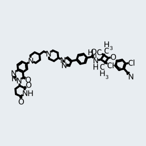 CC1(C)C(NC(=O)c2ccc(-c3cnn(C4CCN(CC5CCN(c6ccc7nnn(C8CCC(=O)NC8=O)c(=O)c7c6)CC5)CC4)c3)cc2)C(C)(C)C1Oc1ccc(C#N)c(Cl)c1